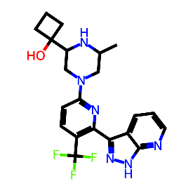 CC1CN(c2ccc(C(F)(F)F)c(-c3n[nH]c4ncccc34)n2)CC(C2(O)CCC2)N1